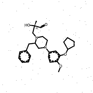 COc1ccc(N2CCN(C[C@](C)(O)C=O)C(Cc3ccccc3)C2)cc1OC1CCCC1